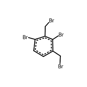 BrCc1ccc(Br)c(CBr)c1Br